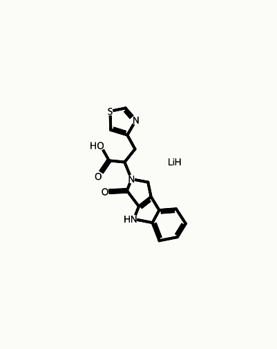 O=C(O)C(Cc1cscn1)N1Cc2c([nH]c3ccccc23)C1=O.[LiH]